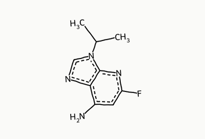 CC(C)n1cnc2c(N)cc(F)nc21